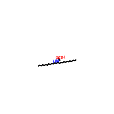 CCCCCCCCCCCCCC(CCCCCCCCCCCC)NC(C)C(=O)O